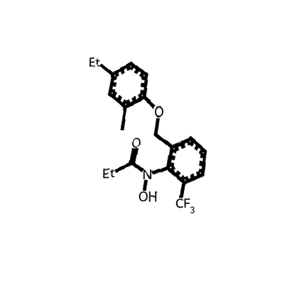 CCC(=O)N(O)c1c(COc2ccc(CC)cc2C)cccc1C(F)(F)F